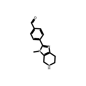 Cn1c(-c2ccc(C=O)cc2)nc2c1CNCC2